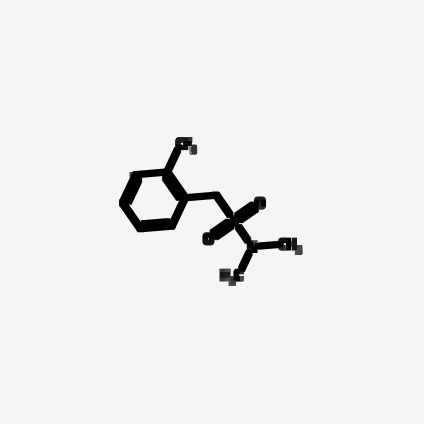 CN(C)S(=O)(=O)Cc1ccc[c]c1C(F)(F)F